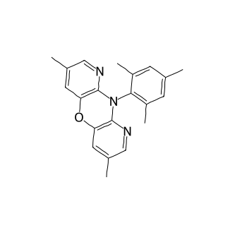 Cc1cc(C)c(N2c3ncc(C)cc3Oc3cc(C)cnc32)c(C)c1